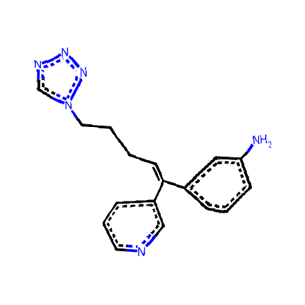 Nc1cccc(C(=CCCCn2cnnn2)c2cccnc2)c1